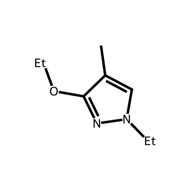 CCOc1nn(CC)cc1C